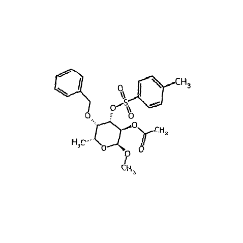 CO[C@H]1O[C@H](C)[C@H](OCc2ccccc2)[C@H](OS(=O)(=O)c2ccc(C)cc2)[C@H]1OC(C)=O